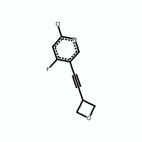 Fc1cc(Cl)ncc1C#CC1COC1